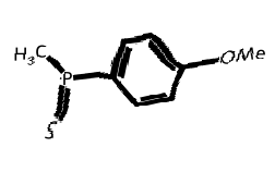 COc1ccc([P](C)=S)cc1